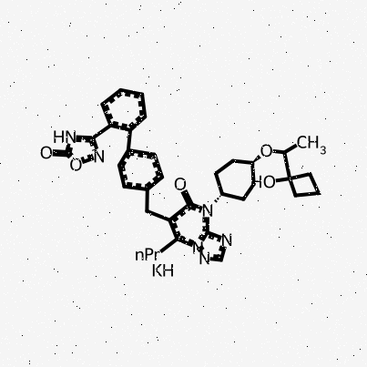 CCCc1c(Cc2ccc(-c3ccccc3-c3noc(=O)[nH]3)cc2)c(=O)n([C@H]2CC[C@H](OC(C)C3(O)CCC3)CC2)c2ncnn12.[KH]